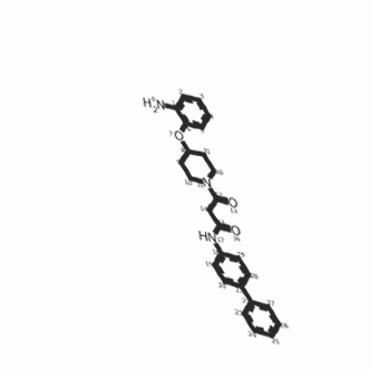 Nc1ccccc1OC1CCN(C(=O)CC(=O)Nc2ccc(-c3ccccc3)cc2)CC1